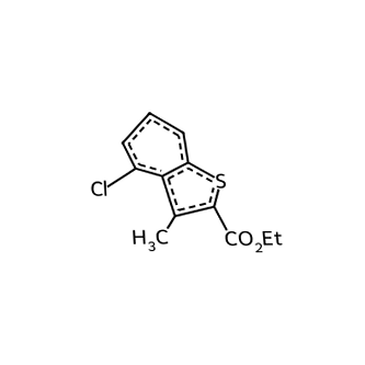 CCOC(=O)c1sc2cccc(Cl)c2c1C